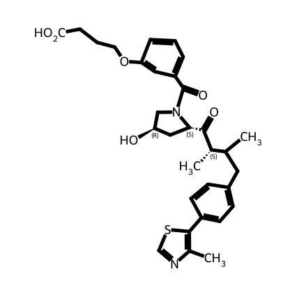 Cc1ncsc1-c1ccc(CC(C)[C@H](C)C(=O)[C@@H]2C[C@@H](O)CN2C(=O)c2cccc(OCCCC(=O)O)c2)cc1